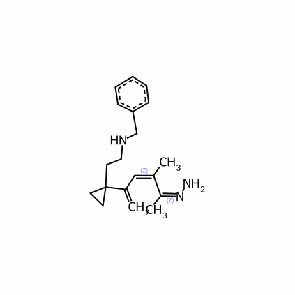 C=C(/C=C(C)\C(C)=N/N)C1(CCNCc2ccccc2)CC1